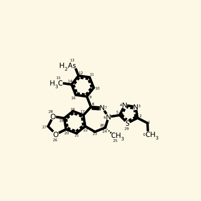 CCc1nnc(N2N=C(c3ccc([AsH2])c(C)c3)c3cc4c(cc3C[C@H]2C)OCO4)s1